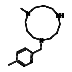 Cc1ccc(CN2CCCNCCCN(C)CCC2)cc1